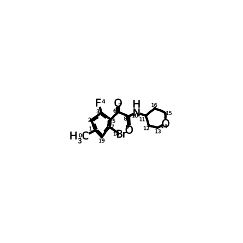 Cc1cc(F)c(C(=O)C(=O)NC2CCOCC2)c(Br)c1